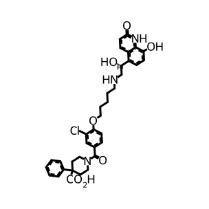 O=C(c1ccc(OCCCCCNC[C@H](O)c2ccc(O)c3[nH]c(=O)ccc23)c(Cl)c1)N1CCC(C(=O)O)(c2ccccc2)CC1